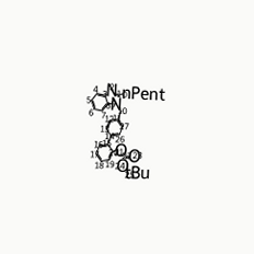 CCCCCc1nc2ccccc2n1Cc1ccc(-c2ccccc2OC(=O)OC(C)(C)C)cc1